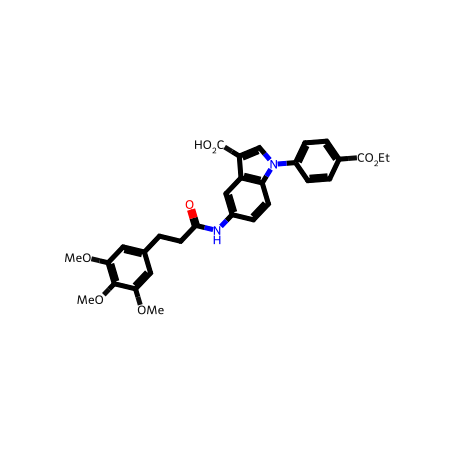 CCOC(=O)c1ccc(-n2cc(C(=O)O)c3cc(NC(=O)CCc4cc(OC)c(OC)c(OC)c4)ccc32)cc1